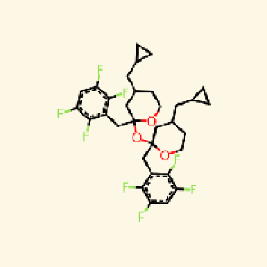 Fc1cc(F)c(F)c(CC2(OC3(Cc4c(F)c(F)cc(F)c4F)CC(CC4CC4)CCO3)CC(CC3CC3)CCO2)c1F